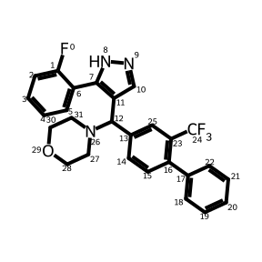 Fc1ccccc1-c1[nH]ncc1C(c1ccc(-c2ccccc2)c(C(F)(F)F)c1)N1CCOCC1